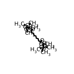 CCOC(OCC)(OCC)C(OC)OC(=O)CCCCCCCC(=O)OC(OC)C(OCC)(OCC)OCC